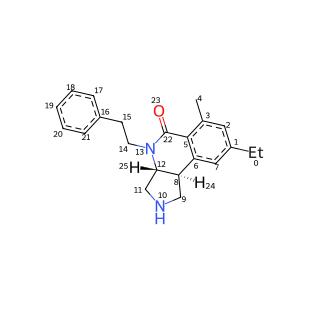 CCc1cc(C)c2c(c1)[C@H]1CNC[C@@H]1N(CCc1ccccc1)C2=O